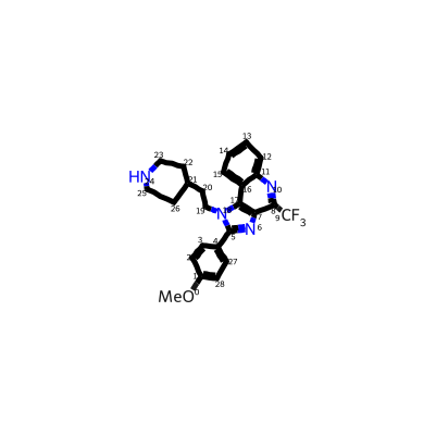 COc1ccc(-c2nc3c(C(F)(F)F)nc4ccccc4c3n2CCC2CCNCC2)cc1